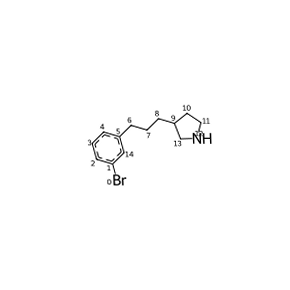 Brc1cccc(CCCC2CCNC2)c1